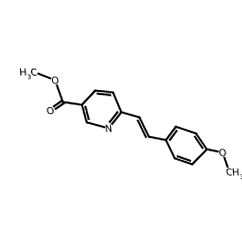 COC(=O)c1ccc(C=Cc2ccc(OC)cc2)nc1